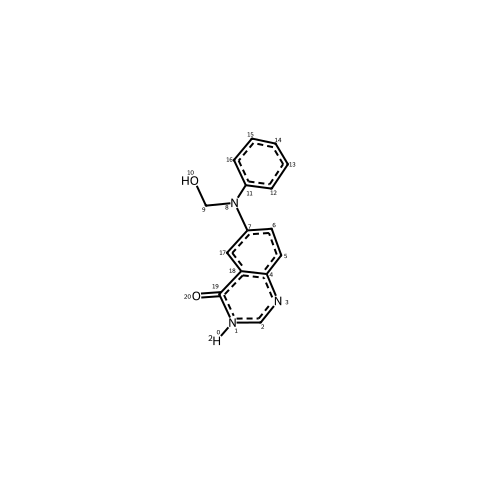 [2H]n1cnc2ccc(N(CO)c3ccccc3)cc2c1=O